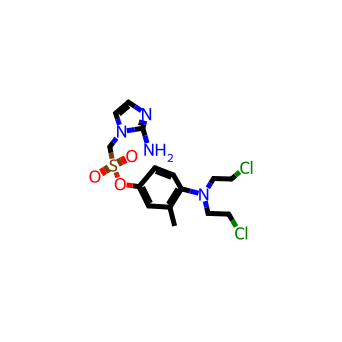 Cc1cc(OS(=O)(=O)Cn2ccnc2N)ccc1N(CCCl)CCCl